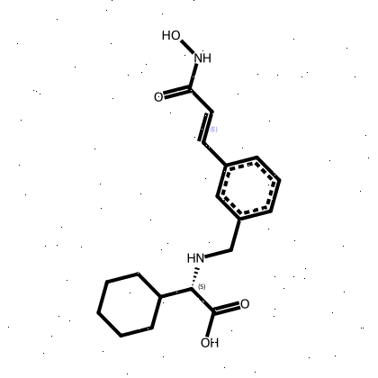 O=C(/C=C/c1cccc(CN[C@H](C(=O)O)C2CCCCC2)c1)NO